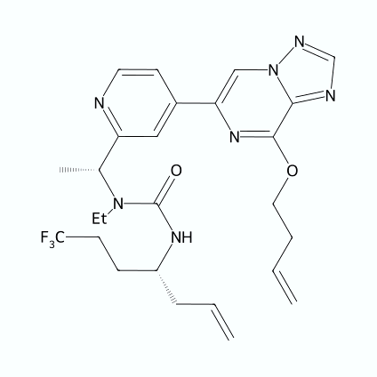 C=CCCOc1nc(-c2ccnc([C@@H](C)N(CC)C(=O)N[C@H](CC=C)CCC(F)(F)F)c2)cn2ncnc12